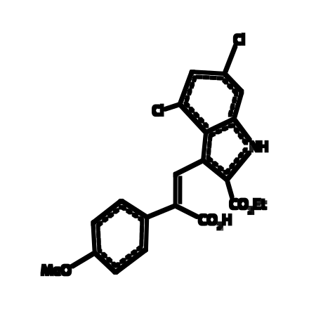 CCOC(=O)c1[nH]c2cc(Cl)cc(Cl)c2c1C=C(C(=O)O)c1ccc(OC)cc1